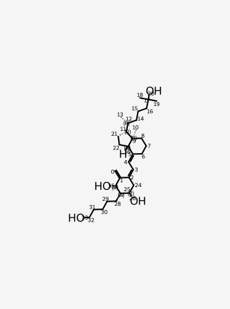 C=C1C(=CC=C2CCC[C@]3(C)[C@@H]([C@H](C)CCCC(C)(C)O)CC[C@@H]23)C[C@@H](O)[C@@H](CCCCCO)[C@@H]1O